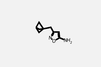 Nc1cc(CC23CC(C2)C3)no1